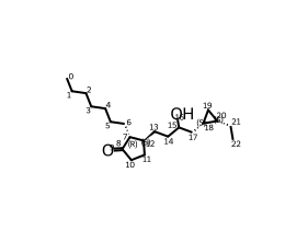 CCCCCCC[C@H]1C(=O)CC[C@@H]1CCC(O)C[C@@H]1C[C@@H]1CC